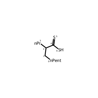 CCCCCCC(CCC)C(=S)S